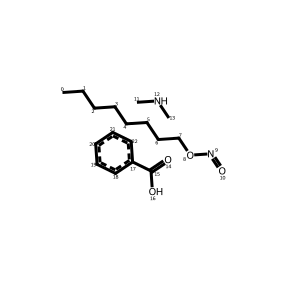 CCCCCCCCON=O.CNC.O=C(O)c1ccccc1